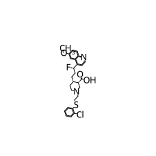 COc1ccc2nccc([C@H](F)CC[C@@H]3CCN(CCSc4ccccc4Cl)C[C@@H]3C(=O)O)c2c1